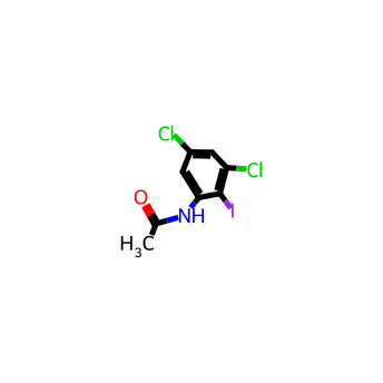 CC(=O)Nc1cc(Cl)cc(Cl)c1I